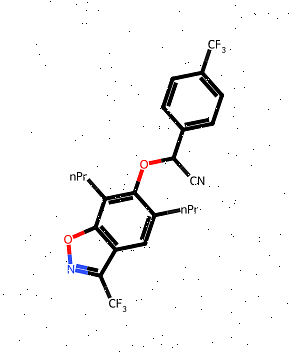 CCCc1cc2c(C(F)(F)F)noc2c(CCC)c1OC(C#N)c1ccc(C(F)(F)F)cc1